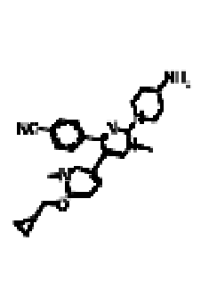 CN1CC(C2=CN(C)C(N3CCC(N)CC3)N=C2c2ccc(C#N)cc2)=CC=C1OCC1CC1